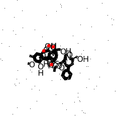 COc1c(C)cc2c(c1O)[C@@H]1[C@@H]3[C@@H]4SC[C@]5(N[C@@H](CO)Cc6c5oc5ccccc65)C(=O)OC[C@@H](c5c6c(c(C)c(OC(C)=O)c54)OCO6)N3C(O)(C2)CN1C